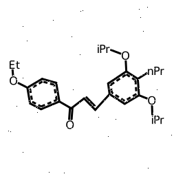 CCCc1c(OC(C)C)cc(/C=C/C(=O)c2ccc(OCC)cc2)cc1OC(C)C